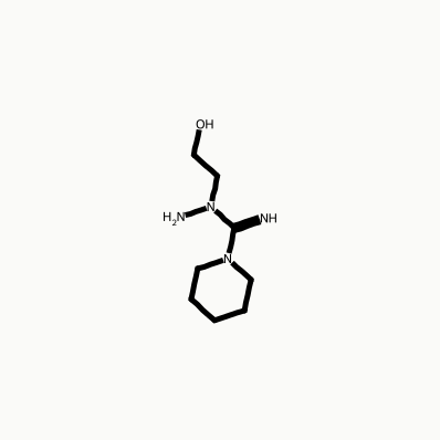 N=C(N(N)CCO)N1CCCCC1